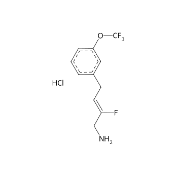 Cl.NCC(F)=CCc1cccc(OC(F)(F)F)c1